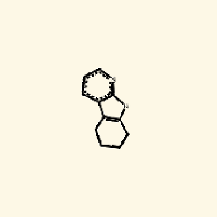 c1cnc2c(c1)C1=C(CCCC1)[N]2